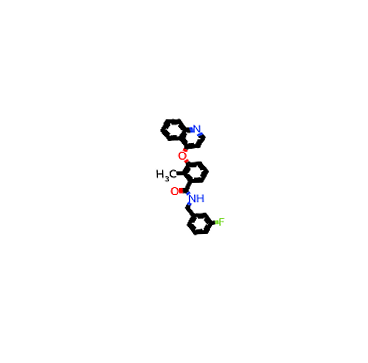 Cc1c(Oc2ccnc3ccccc23)cccc1C(=O)NCc1cccc(F)c1